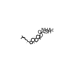 CC(=O)N[C@@H](CS)C(=O)O[C@H]1CC[C@]2(C)C3=C(CCC2C1(C)C)[C@]1(C)CCC([C@H](C)CCC=C(C)C)[C@@]1(C)CC3